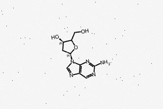 Nc1ncc2ncn([C@H]3C[C@@H](O)C(CO)O3)c2n1